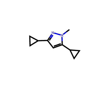 Cn1nc(C2CC2)cc1C1CC1